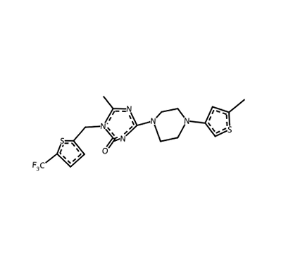 Cc1cc(N2CCN(c3nc(C)n(Cc4ccc(C(F)(F)F)s4)c(=O)n3)CC2)cs1